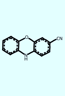 N#Cc1ccc2c(c1)Oc1ccccc1N2